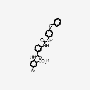 O=C(Nc1ccc(Oc2ccccc2)cc1)Nc1cccc(C(=O)Nc2ccc(Br)cc2C(=O)O)c1